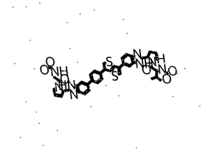 COC(=O)NCC(=O)N1CC=CC1c1nc2ccc(-c3ccc(C4CSc5c(-c6ccc7nc(C8CCCN8C(=O)C(NC(=O)OC)C(C)C)[nH]c7c6)csc54)cc3)cc2[nH]1